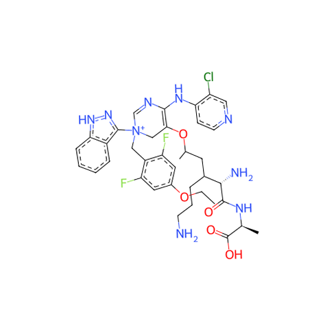 CCOc1cc(F)c(C[N+]2(c3n[nH]c4ccccc34)C=NC(Nc3ccncc3Cl)=C(OC(C)CC(CCCN)[C@H](N)C(=O)N[C@@H](C)C(=O)O)C2)c(F)c1